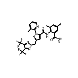 CNC(=O)c1cc(I)cc(C)c1NC(=O)c1cc(Cn2nc(C(F)(F)F)c(C(F)(F)F)n2)nn1-c1ncccc1C